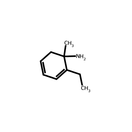 CCC1=CC=CCC1(C)N